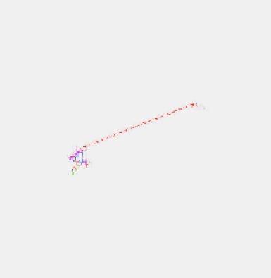 CCS(=O)(=O)Nc1ccc(Oc2ccc(F)cc2F)c(-c2cn(C)c(=O)c3[nH]c(C(=O)Nc4ccc(OCCOCCOCCOCCOCCOCCOCCOCCOCCOCCOCCOCCOCCOCCOCCOCCOCCOCC(=O)OC(C)(C)C)cc4)cc23)c1